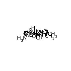 CC1CCN(c2cnc(C(=O)NS(=O)(=O)c3cccc(N)n3)c(Cl)n2)C1(C)C